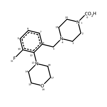 O=C(O)N1CCN(Cc2cccc(F)c2N2CCOCC2)CC1